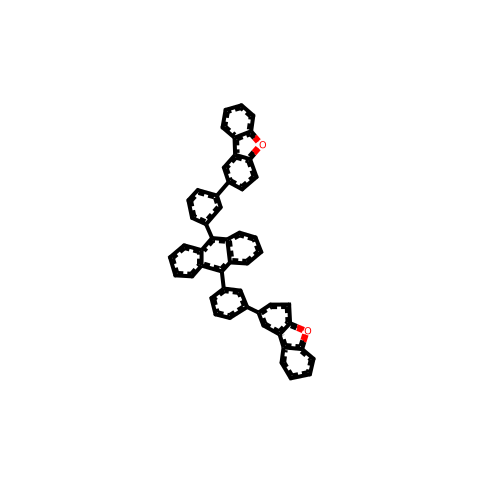 c1cc(-c2ccc3oc4ccccc4c3c2)cc(-c2c3ccccc3c(-c3cccc(-c4ccc5oc6ccccc6c5c4)c3)c3ccccc23)c1